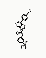 N#Cc1ccc(-c2cncc3c2CCN3C(=O)Cc2cccc(C(F)(F)F)c2)cc1